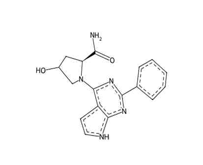 NC(=O)[C@@H]1CC(O)CN1c1nc(-c2ccccc2)nc2[nH]ccc12